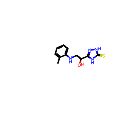 Cc1ccccc1NCC(O)c1n[nH]c(=S)[nH]1